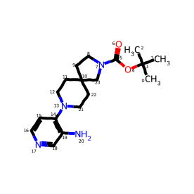 CC(C)(C)OC(=O)N1CCC2(CCN(c3ccncc3N)CC2)C1